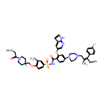 COCC(=O)N1CCC(F)(COc2ccc(S(=O)(=O)NC(=O)c3ccc(N4CCN(C/C(C)=C(/CC(C)C)c5ccc(Cl)cc5)CC4)cc3Oc3cnc4[nH]ccc4c3)cc2[N+](=O)[O-])CC1